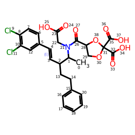 CC(C(/C=C/c1ccc(Cl)c(Cl)c1)CCc1ccccc1)N(CC(=O)O)C(=O)C1COC(C(=O)O)(C(=O)O)O1